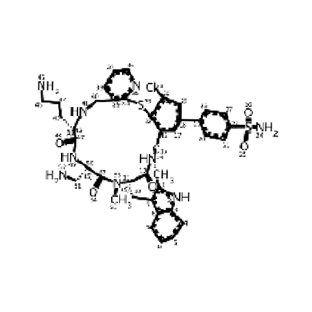 Cc1[nH]c2ccccc2c1C[C@H]1C(=O)NCc2cc(-c3ccc(S(N)(=O)=O)cc3)cc(Cl)c2Sc2ncccc2CN[C@@H](CCCN)C(=O)N[C@@H](CN)C(=O)N1C